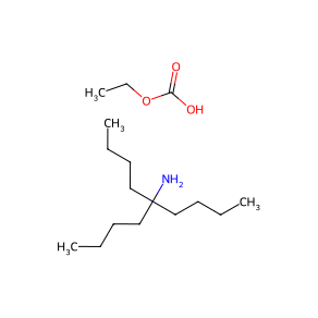 CCCCC(N)(CCCC)CCCC.CCOC(=O)O